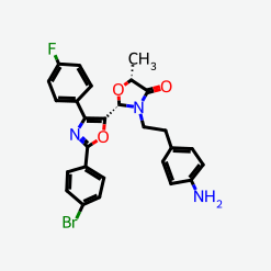 C[C@H]1O[C@@H](c2oc(-c3ccc(Br)cc3)nc2-c2ccc(F)cc2)N(CCc2ccc(N)cc2)C1=O